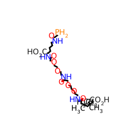 CC(C)(CC(=O)O)CC(C)(C)CC(=O)NCCOCCOCC(=O)NCCOCCOCC(=O)NC(CCCCNC(=O)CP)C(=O)O